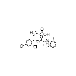 Cc1cccc(C)c1N[C@@H](C)C(=O)OCc1ccc(Cl)cc1Cl.NCC(=O)O